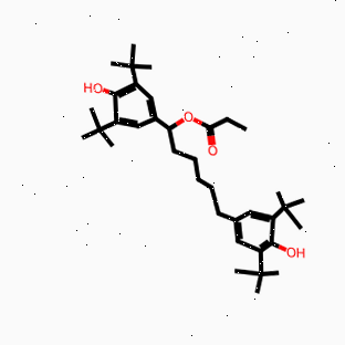 CCC(=O)OC(CCCCCc1cc(C(C)(C)C)c(O)c(C(C)(C)C)c1)c1cc(C(C)(C)C)c(O)c(C(C)(C)C)c1